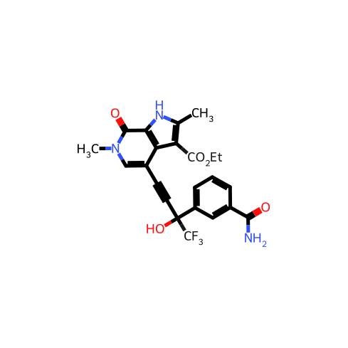 CCOC(=O)c1c(C)[nH]c2c(=O)n(C)cc(C#CC(O)(c3cccc(C(N)=O)c3)C(F)(F)F)c12